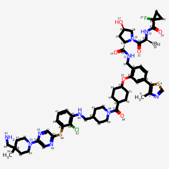 Cc1ncsc1-c1ccc(CNC(=O)[C@@H]2C[C@@H](O)CN2C(=O)[C@@H](NC(=O)C2(F)CC2)C(C)(C)C)c(OC2CCC(C(=O)N3CCC(CNc4cccc(Sc5cnc(N6CCC(C)(CN)CC6)cn5)c4Cl)CC3)CC2)c1